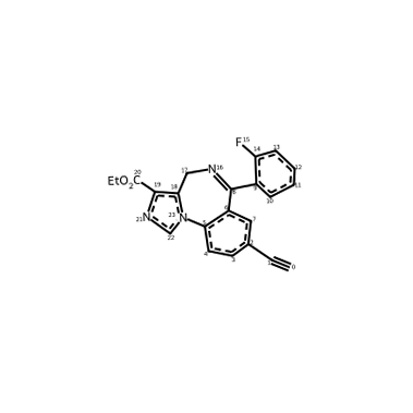 C#Cc1ccc2c(c1)C(c1ccccc1F)=NCc1c(C(=O)OCC)ncn1-2